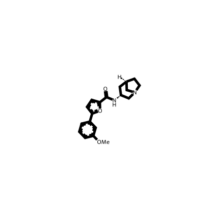 COc1cccc(-c2ccc(C(=O)N[C@@H]3C[C@H]4CCN(C4)C3)o2)c1